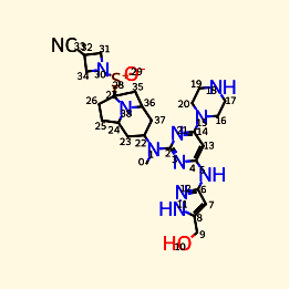 CN(c1nc(Nc2cc(CO)[nH]n2)cc(N2CCNCC2)n1)C1CC2CCC3([S+]([O-])N4CC(C#N)C4)CC(C1)N23